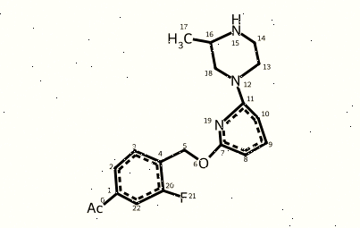 CC(=O)c1ccc(COc2cccc(N3CCNC(C)C3)n2)c(F)c1